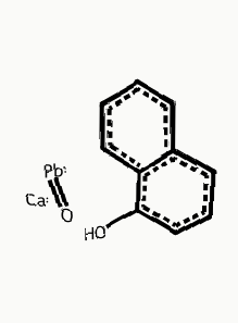 Oc1cccc2ccccc12.[Ca].[O]=[Pb]